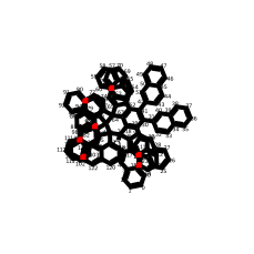 c1ccc2cc(OC3(c4ccc5ccccc5c4)c4c(-c5ccc6ccccc6c5)c(-c5ccc6ccccc6c5)c(-c5ccc6ccccc6c5)c(-c5ccc6ccccc6c5)c4C(c4ccc5ccccc5c4)(c4cccc5ccccc45)C(c4ccc5ccccc5c4)(c4ccc5ccccc5c4)C3(c3ccc4ccccc4c3)c3cccc4ccccc34)ccc2c1